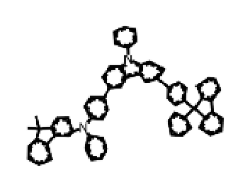 CC1(C)c2ccccc2-c2cc(N(c3ccccc3)c3ccc(-c4ccc5c(c4)c4cc(-c6ccc(C7(c8ccccc8)c8ccccc8-c8ccccc87)cc6)ccc4n5-c4ccccc4)cc3)ccc21